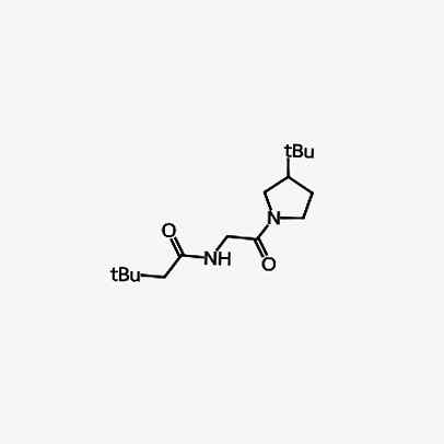 CC(C)(C)CC(=O)NCC(=O)N1CCC(C(C)(C)C)C1